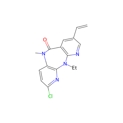 C=Cc1cnc2c(c1)C(=O)N(C)c1ccc(Cl)nc1N2CC